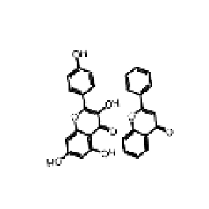 O=c1c(O)c(-c2ccc(O)cc2)oc2cc(O)cc(O)c12.O=c1cc(-c2ccccc2)oc2ccccc12